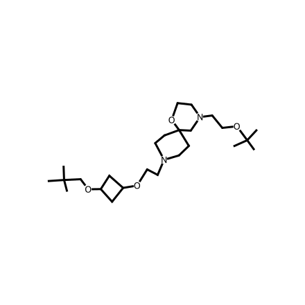 CC(C)(C)COC1CC(OCCN2CCC3(CC2)CN(CCOC(C)(C)C)CCO3)C1